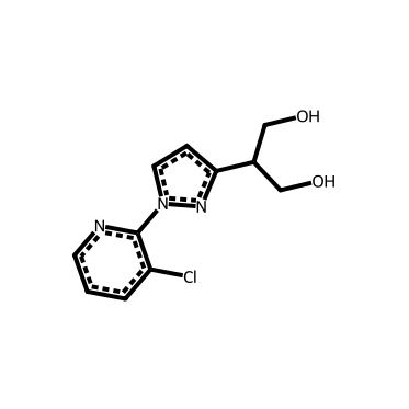 OCC(CO)c1ccn(-c2ncccc2Cl)n1